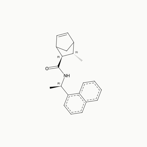 C[C@@H](NC(=O)[C@H]1C2C=CC(C2)[C@@H]1C)c1cccc2ccccc12